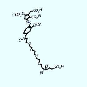 CCOC(=O)c1sc(/N=N/c2ccc(N(CC)CCOCCOCCOCCOCC[N+](CC)(CC)CCCS(=O)(=O)O)cc2OC)c(C(=O)OCC)c1CS(=O)(=O)O